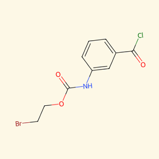 O=C(Nc1cccc(C(=O)Cl)c1)OCCBr